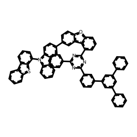 c1ccc(-c2cc(-c3ccccc3)cc(-c3cccc(-c4nc(-c5ccccc5)nc(-c5cccc6oc7ccc(-c8ccc9c(c8)c8ccccc8n9-c8cccc9c8sc8ccccc89)cc7c56)n4)c3)c2)cc1